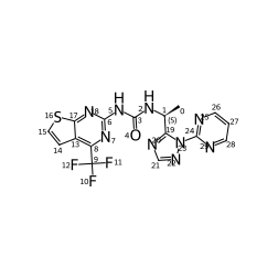 C[C@H](NC(=O)Nc1nc(C(F)(F)F)c2ccsc2n1)c1ncnn1-c1ncccn1